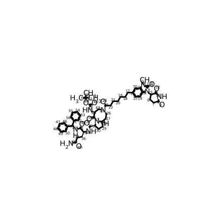 Cn1c(=O)n(C2CCC(=O)NC2=O)c2ccc(CCCCCCC(=O)N3CC[C@H]4CC[C@@H](C(=O)N[C@@H](CCC(N)=O)C(=O)NC(c5ccccc5)c5ccccc5)N4C(=O)[C@@H](NC(=O)OC(C)(C)C)C3)cc21